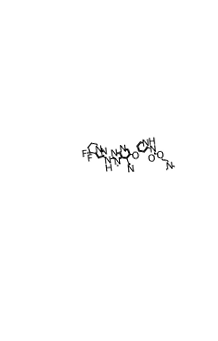 CN(C)CCOC(=O)Nc1cc(Oc2cnc3nc(Nc4cc5n(n4)CCCC5(F)F)n(C)c3c2C#N)ccn1